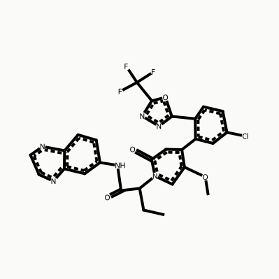 CCC(C(=O)Nc1ccc2nccnc2c1)n1cc(OC)c(-c2cc(Cl)ccc2-c2nnc(C(F)(F)F)o2)cc1=O